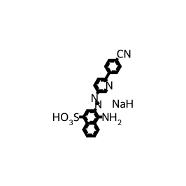 N#Cc1ccc(-c2ccc(/N=N/c3cc(S(=O)(=O)O)c4ccccc4c3N)cn2)cc1.[NaH]